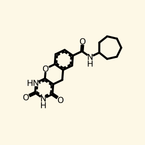 O=C(NC1CCCCCC1)c1ccc2c(c1)Cc1c([nH]c(=O)[nH]c1=O)O2